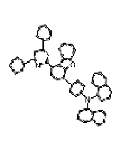 c1ccc(-c2cc(-c3ccccc3)nc(-c3ccc(-c4ccc(N(c5cccc6ccccc56)c5cccc6ccccc56)cc4)c4oc5ccccc5c34)n2)cc1